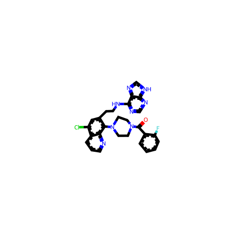 O=C(c1ccccc1F)N1CCN(c2c(CCNc3ncnc4[nH]cnc34)cc(Cl)c3cccnc23)CC1